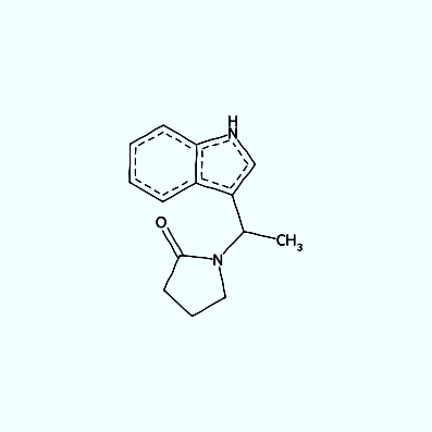 CC(c1c[nH]c2ccccc12)N1CCCC1=O